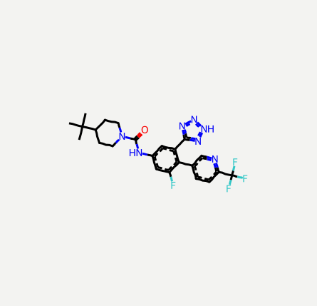 CC(C)(C)C1CCN(C(=O)Nc2cc(F)c(-c3ccc(C(F)(F)F)nc3)c(-c3nn[nH]n3)c2)CC1